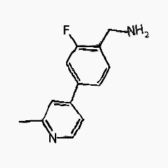 Cc1cc(-c2ccc(CN)c(F)c2)ccn1